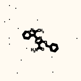 Cc1nn2ccccc2c1-c1nc(OCc2ccccc2)c(C(N)=O)s1